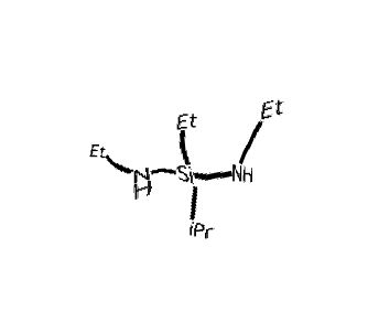 CCN[Si](CC)(NCC)C(C)C